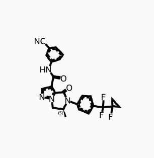 C[C@H]1Cn2ncc(C(=O)Nc3cccc(C#N)c3)c2C(=O)N1c1ccc(C(F)(F)C2(F)CC2)cc1